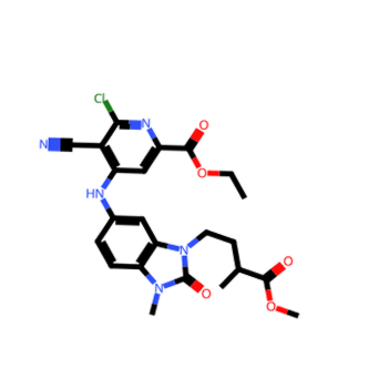 CCOC(=O)c1cc(Nc2ccc3c(c2)n(CCC(C)C(=O)OC)c(=O)n3C)c(C#N)c(Cl)n1